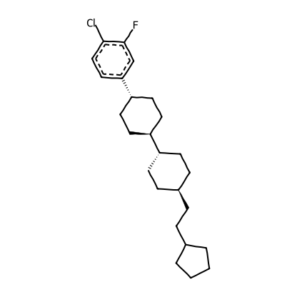 Fc1cc([C@H]2CC[C@H]([C@H]3CC[C@H](CCC4CCCC4)CC3)CC2)ccc1Cl